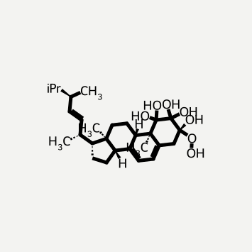 CC(C)[C@@H](C)C=C[C@@H](C)[C@H]1CC[C@H]2C3=CC=C4C[C@@](O)(OO)C(O)(O)C(O)(O)[C@]4(C)[C@H]3CC[C@]12C